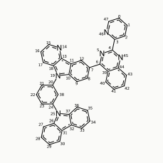 c1ccc(-c2nc(-c3ccc4c(c3)c3ncccc3n4-c3cccc(-n4c5ccccc5c5ccccc54)c3)c3ccccc3n2)nc1